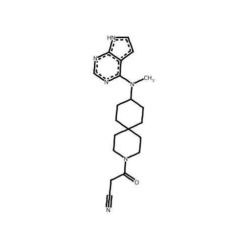 CN(c1ncnc2[nH]ccc12)C1CCC2(CC1)CCN(C(=O)CC#N)CC2